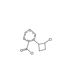 O=C(Cl)c1ccccc1C1CCC1Cl